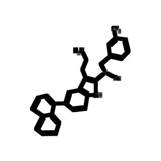 CC(=O)N(Cc1cccc(C(F)(F)F)c1)c1[nH]c2ccc(-c3cccc4ccccc34)cc2c1CCN